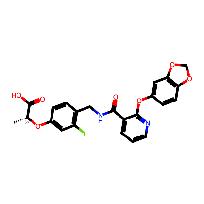 C[C@@H](Oc1ccc(CNC(=O)c2cccnc2Oc2ccc3c(c2)OCO3)c(F)c1)C(=O)O